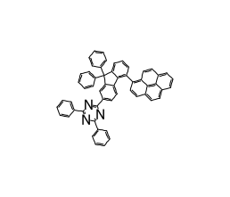 c1ccc(-c2nc(-c3ccccc3)nc(-c3ccc4c(c3)C(c3ccccc3)(c3ccccc3)c3cccc(-c5ccc6ccc7cccc8ccc5c6c78)c3-4)n2)cc1